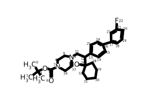 CC(C)(C)OC(=O)N1CCN(CC(c2ccc(-c3cccc(F)c3)cc2)C2(O)CCCCC2)CC1